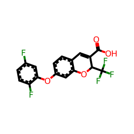 O=C(O)C1=Cc2ccc(Oc3cc(F)ccc3F)cc2OC1C(F)(F)F